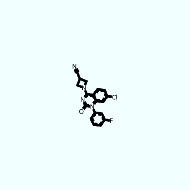 N#CC1CN(c2nc(=O)n(-c3cccc(F)c3)c3cc(Cl)ccc23)C1